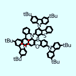 CC(C)(C)c1ccc2c(c1)c1cc(C(C)(C)C)ccc1n2-c1ccc2c(c1)Oc1cc(-n3c4ccc(C(C)(C)C)cc4c4cc(C(C)(C)C)ccc43)cc3c1B2c1c(cc(-n2c4ccc(C(C)(C)C)cc4c4cc(C(C)(C)C)ccc42)c2c1sc1ccccc12)N3c1ccccc1-c1ccccc1